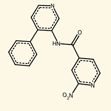 O=C(Nc1cnccc1-c1ccccc1)c1ccnc([N+](=O)[O-])c1